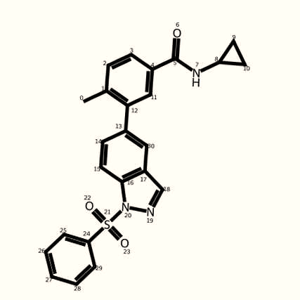 Cc1ccc(C(=O)NC2CC2)cc1-c1ccc2c(cnn2S(=O)(=O)c2ccccc2)c1